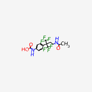 CC(=O)NCCC(c1ccc(NC(=O)O)cc1)(C(F)(F)F)C(F)(F)F